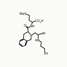 CSCCC(NC(=O)C1Cc2ccccc2CN1CC(NCCCS)C(C)C)C(=O)O